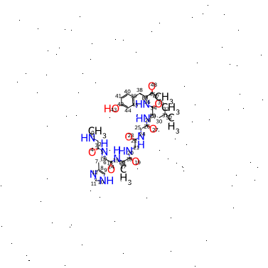 CNCC(=O)N[C@@H](Cc1c[nH]cn1)C(=O)N[C@@H](C)C(=O)NCC(=O)NCC(=O)N[C@@H](CC(C)C)C(=O)N[C@@H](Cc1ccc(O)cc1)C(C)=O